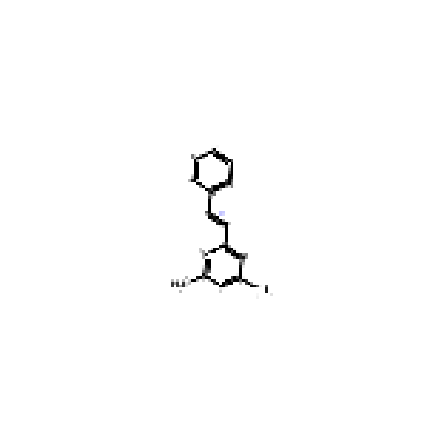 Cc1cc(N)nc(/C=C/c2ccccc2)c1